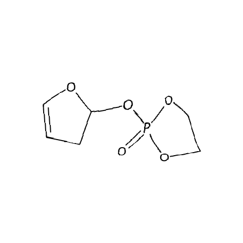 O=P1(OC2CC=CO2)OCCO1